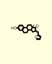 C[C@]12CCC3c4ccc(O)cc4CCC3C1C/C(=C\c1ccco1)C2=O